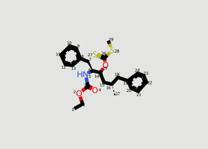 CCOC(=O)N[C@@H](Cc1ccccc1)C(C[C@@H](C)Cc1ccccc1)OC(=S)SC